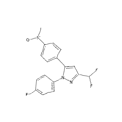 C[S+]([O-])c1ccc(-c2cc(C(F)F)nn2-c2ccc(F)cc2)cc1